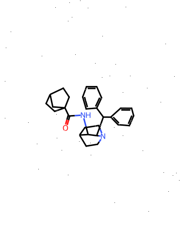 O=C(NC1C2CCN(CC2)C1C(c1ccccc1)c1ccccc1)C12CCC(CC1)C2